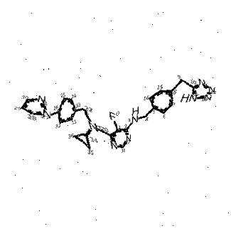 Fc1c(NCc2ccc(Cc3nnn[nH]3)cc2)ncnc1N(Cc1ccc(-n2cccn2)cc1)C1CC1